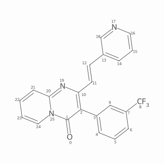 O=c1c(-c2cccc(C(F)(F)F)c2)c(C=Cc2cccnc2)nc2ccccn12